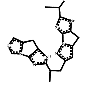 CC(C)c1nc2c([nH]1)Cc1cc(CC(C)c3nc4c([nH]3)Cc3cncn3-4)nn1-2